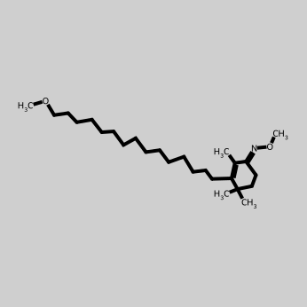 COCCCCCCCCCCCCCCCC1=C(C)C(=NOC)CCC1(C)C